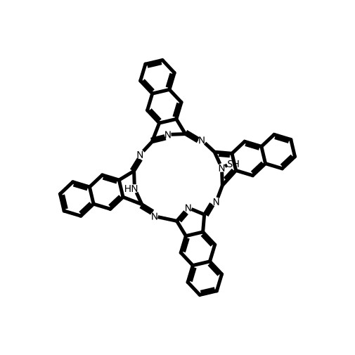 Sn1c2nc3nc(nc4[nH]c(nc5nc(nc1c1cc6ccccc6cc12)-c1cc2ccccc2cc1-5)c1cc2ccccc2cc41)-c1cc2ccccc2cc1-3